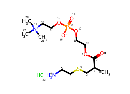 CC(CSCCN)C(=O)OCCOP(=O)([O-])OCC[N+](C)(C)C.Cl